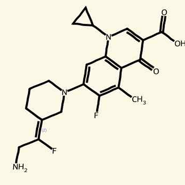 Cc1c(F)c(N2CCC/C(=C(/F)CN)C2)cc2c1c(=O)c(C(=O)O)cn2C1CC1